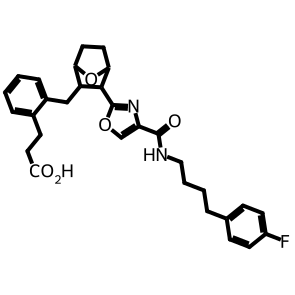 O=C(O)CCc1ccccc1CC1C2CCC(O2)C1c1nc(C(=O)NCCCCc2ccc(F)cc2)co1